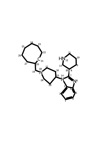 c1ccc2c(c1)nc([C@@H]1CCCNC1)n2C1CCN(CC2CCCCCCC2)CC1